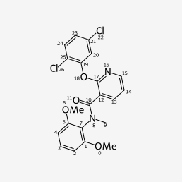 COc1cccc(OC)c1N(C)C(=O)c1cccnc1Oc1cc(Cl)ccc1Cl